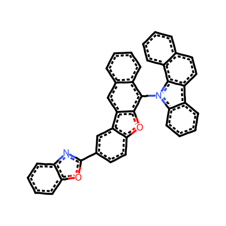 c1ccc2c(-n3c4ccccc4c4ccc5ccccc5c43)c3oc4ccc(-c5nc6ccccc6o5)cc4c3cc2c1